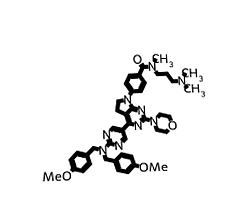 COc1ccc(CN(Cc2ccc(OC)cc2)c2ncc(-c3nc(N4CCOCC4)nc4c3CCN4c3ccc(C(=O)N(C)CCCN(C)C)cc3)cn2)cc1